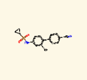 Cc1cc(NS(=O)(=O)C2CC2)ccc1-c1ccc(C#N)cc1